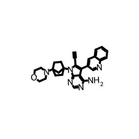 C#Cc1c(-c2cnc3ccccc3c2)c2c(N)ncnc2n1C12CCC(N3CCOCC3)(CC1)C2